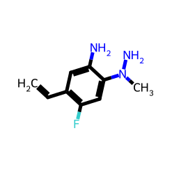 C=Cc1cc(N)c(N(C)N)cc1F